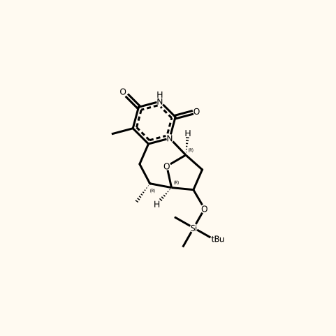 Cc1c2n(c(=O)[nH]c1=O)[C@H]1CC(O[Si](C)(C)C(C)(C)C)[C@H](O1)[C@H](C)C2